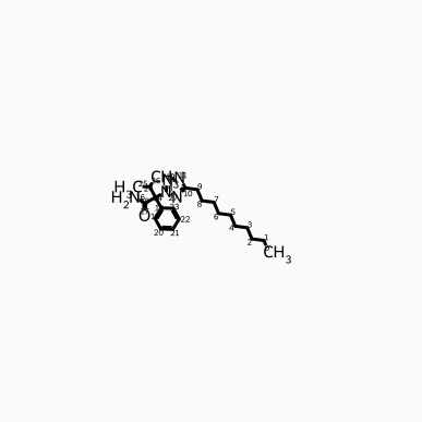 CCCCCCCCCCc1nnn(C(C(N)=O)(c2ccccc2)C(C)C)n1